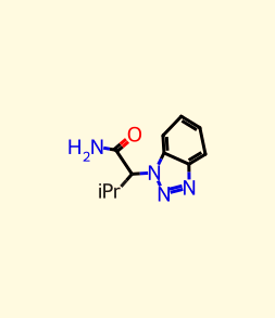 CC(C)C(C(N)=O)n1nnc2ccccc21